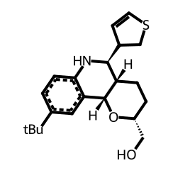 CC(C)(C)c1ccc2c(c1)[C@H]1O[C@@H](CO)CC[C@H]1[C@H](C1C=CSC1)N2